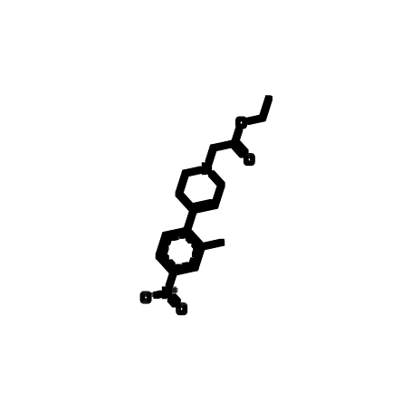 CCOC(=O)CN1CC=C(c2ccc([N+](=O)[O-])cc2C)CC1